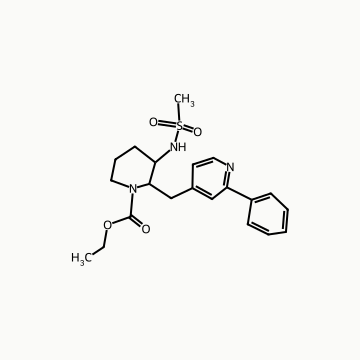 CCOC(=O)N1CCCC(NS(C)(=O)=O)C1Cc1ccnc(-c2ccccc2)c1